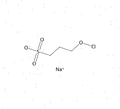 O=S(=O)([O-])CCCOCl.[Na+]